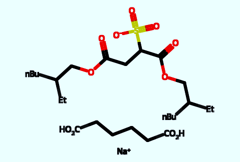 CCCCC(CC)COC(=O)CC(C(=O)OCC(CC)CCCC)S(=O)(=O)[O-].O=C(O)CCCCC(=O)O.[Na+]